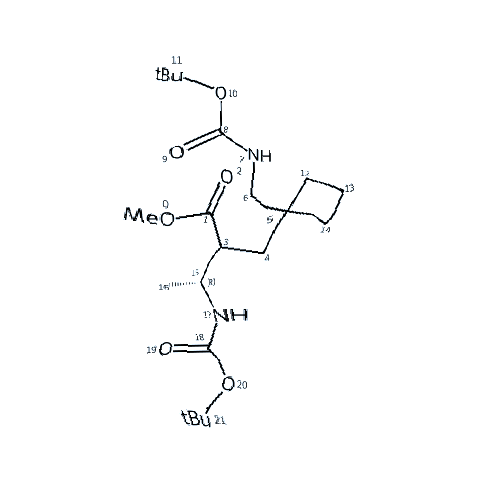 COC(=O)C(CC1(CNC(=O)OC(C)(C)C)CCC1)[C@@H](C)NC(=O)OC(C)(C)C